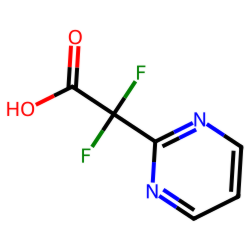 O=C(O)C(F)(F)c1ncccn1